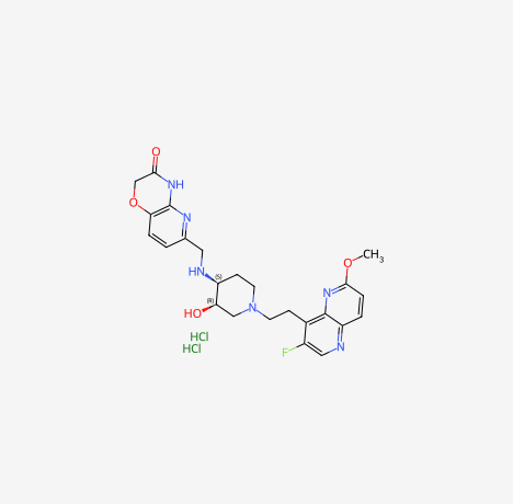 COc1ccc2ncc(F)c(CCN3CC[C@H](NCc4ccc5c(n4)NC(=O)CO5)[C@H](O)C3)c2n1.Cl.Cl